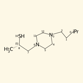 CC(C)CCN1CCN(C[C@H](C)S)CC1